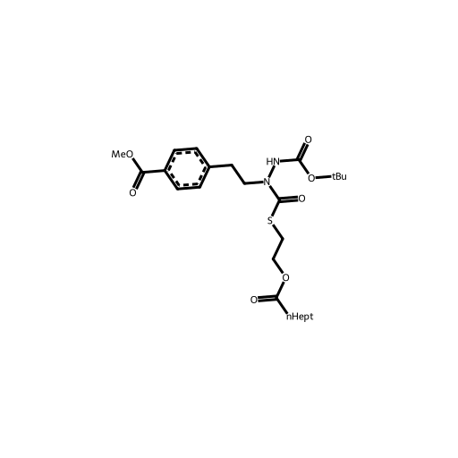 CCCCCCCC(=O)OCCSC(=O)N(CCc1ccc(C(=O)OC)cc1)NC(=O)OC(C)(C)C